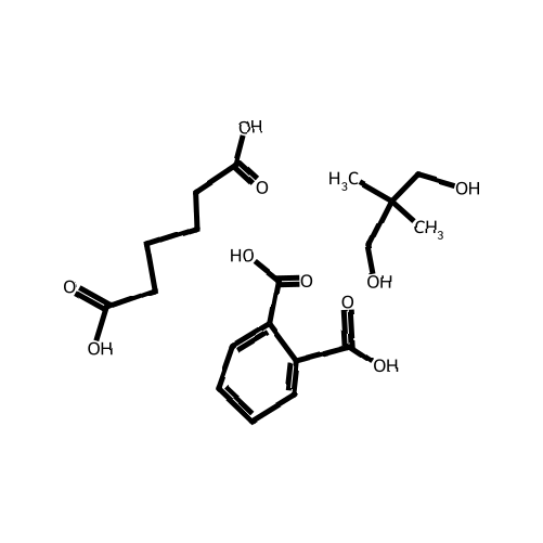 CC(C)(CO)CO.O=C(O)CCCCC(=O)O.O=C(O)c1ccccc1C(=O)O